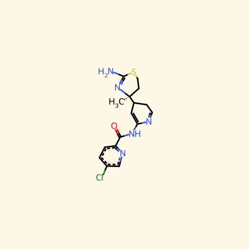 C[C@@]1(C2C=C(NC(=O)c3ccc(Cl)cn3)N=CC2)CCSC(N)=N1